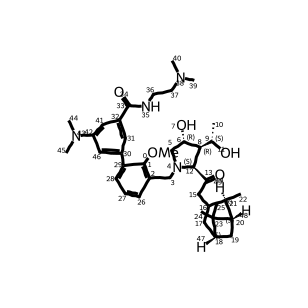 COc1c(CN2C[C@H](O)[C@@H]([C@H](C)O)[C@H]2C(=O)CC2C[C@H]3C[C@@H]([C@@H]2C)C3(C)C)cccc1-c1cc(C(=O)NCCN(C)C)cc(N(C)C)c1